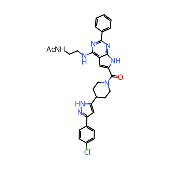 CC(=O)NCCNc1nc(-c2ccccc2)nc2[nH]c(C(=O)N3CCC(c4cc(-c5ccc(Cl)cc5)n[nH]4)CC3)cc12